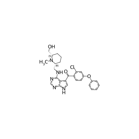 CN1[C@H](CO)CCC[C@@H]1CNc1ncnc2[nH]cc(C(=O)c3ccc(Oc4ccccc4)cc3Cl)c12